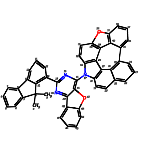 CC1(C)c2ccccc2-c2cccc(-c3nc(-n4c5ccc6cccc7c6c5c5c6c(ccc54)oc4cccc-7c46)c4oc5ccccc5c4n3)c21